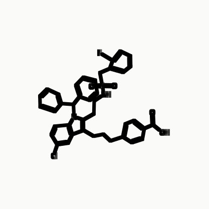 O=C(O)c1ccc(CCCc2c(CCNS(=O)(=O)Cc3ccccc3F)n(C(c3ccccc3)c3ccccc3)c3ccc(Cl)cc23)cc1